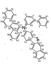 c1ccc(-c2cccc(N(c3ccc4c(c3)sc3cc5ccccc5cc34)c3cc4c5ccccc5ccc4c4ccccc34)c2)cc1